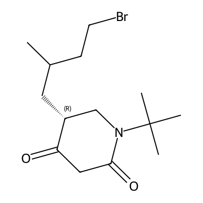 CC(CCBr)C[C@@H]1CN(C(C)(C)C)C(=O)CC1=O